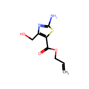 C=CCOC(=O)c1sc(N)nc1CO